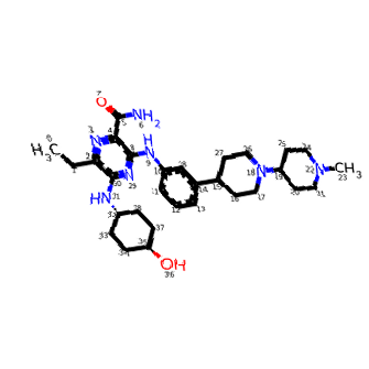 CCc1nc(C(N)=O)c(Nc2cccc(C3CCN(C4CCN(C)CC4)CC3)c2)nc1N[C@H]1CC[C@H](O)CC1